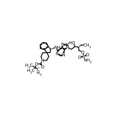 CC[C@@H](COS(N)(=O)=O)C(O)Cn1nnc2c(N[C@H]3CC4(CCN(C(=O)OC(C)(C)C)CC4)c4ccccc43)ncnc21